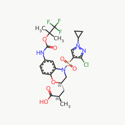 C[C@H](C[C@H]1CN(S(=O)(=O)c2cn(C3CC3)nc2Cl)c2cc(NC(=O)OC(C)(C)C(F)(F)F)ccc2O1)C(=O)O